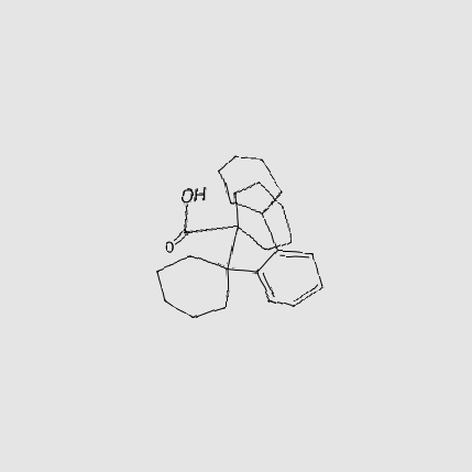 O=C(O)C1(C2(c3ccccc3C3CCCCC3)CCCCC2)CCCCC1